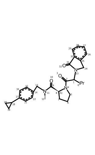 CC(C)C(C(=O)N1CCC[C@H]1C(=O)N(I)Cc1ccc(C2CC2)cc1)N1Cc2ccccc2C1=O